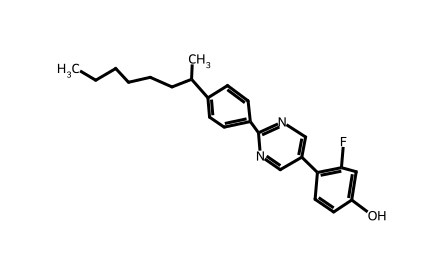 CCCCCCC(C)c1ccc(-c2ncc(-c3ccc(O)cc3F)cn2)cc1